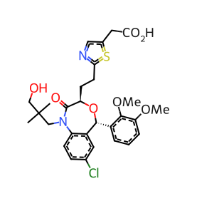 COc1cccc([C@H]2O[C@H](CCc3ncc(CC(=O)O)s3)C(=O)N(CC(C)(C)CO)c3ccc(Cl)cc32)c1OC